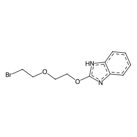 BrCCOCCOc1nc2ccccc2[nH]1